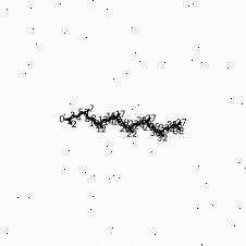 CC(C)CCCC(C)CCCC(C)CCCC(C)CCCC(C)CCCC(C)CCCC(C)CCCC(C)C